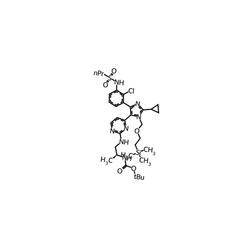 CCCS(=O)(=O)Nc1cccc(-c2nc(C3CC3)n(COCC[Si](C)(C)C)c2-c2ccnc(NC[C@H](C)NC(=O)OC(C)(C)C)n2)c1Cl